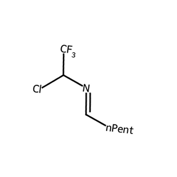 CCCCC/C=N/C(Cl)C(F)(F)F